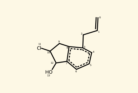 C=CCc1cccc2c1CC(Cl)C2O